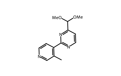 COC(OC)c1ccnc(-c2ccncc2C)n1